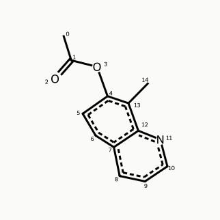 CC(=O)Oc1ccc2cccnc2c1C